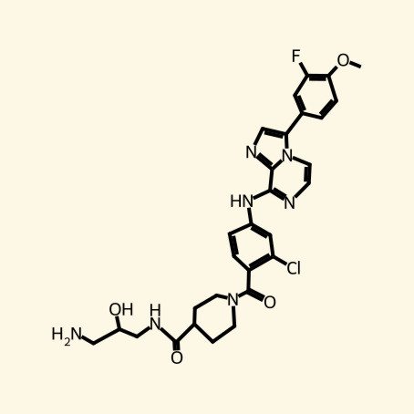 COc1ccc(-c2cnc3c(Nc4ccc(C(=O)N5CCC(C(=O)NCC(O)CN)CC5)c(Cl)c4)nccn23)cc1F